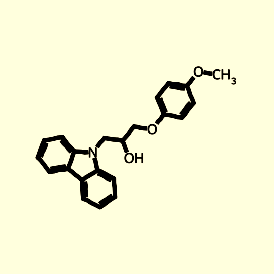 COc1ccc(OCC(O)Cn2c3ccccc3c3ccccc32)cc1